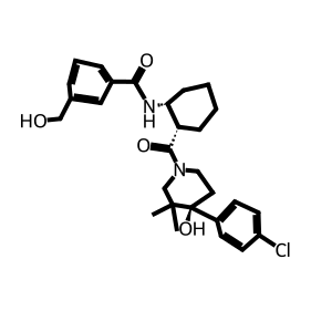 CC1(C)CN(C(=O)[C@H]2CCCC[C@H]2NC(=O)c2cccc(CO)c2)CC[C@]1(O)c1ccc(Cl)cc1